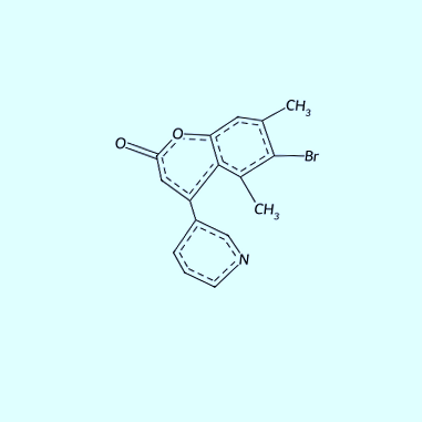 Cc1cc2oc(=O)cc(-c3cccnc3)c2c(C)c1Br